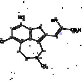 CCC/C(=C\c1sc2ccc(Cl)c3c2c1CN(C)CC3)C(=O)O.Cl